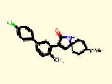 CO[C@H]1CC[C@]2(C=C(c3cc(-c4ccc(Cl)cc4)ccc3C)C(=O)N2)CC1